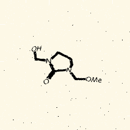 COCN1CCN(CO)C1=O